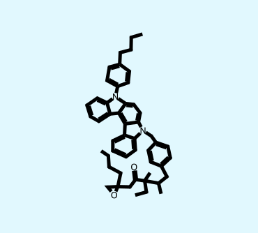 CCCCc1ccc(-n2c3ccccc3c3c4c5ccccc5n(Cc5ccc(CC(C)C(C)(CC)C(=O)CC6(CCCC)CO6)cc5)c4ccc32)cc1